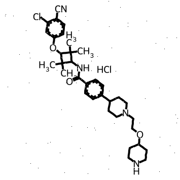 CC1(C)C(NC(=O)c2ccc(C3CCN(CCOC4CCNCC4)CC3)cc2)C(C)(C)C1Oc1ccc(C#N)c(Cl)c1.Cl